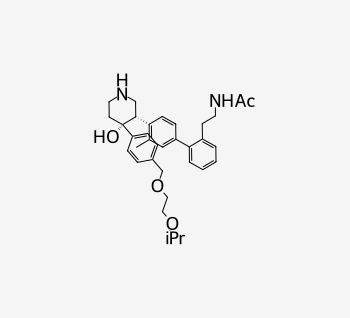 CC(=O)NCCc1ccccc1-c1ccc([C@H]2CNCC[C@]2(O)c2ccc(COCCOC(C)C)cc2)c(C)c1